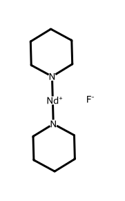 C1CC[N]([Nd+][N]2CCCCC2)CC1.[F-]